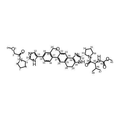 COCC(=O)N1CCC[C@H]1c1ncc(-c2ccc3c(c2)COc2cc4c(cc2-3)CCc2[nH]c([C@@H]3CCCN3C(=O)[C@@H](NC(=O)OC)C(C)C)nc2-4)[nH]1